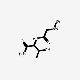 CC(C)NCC(=O)NC(C(N)=O)C(C)O